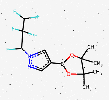 CC1(C)OB(c2cnn(C(F)C(F)(F)C(F)F)c2)OC1(C)C